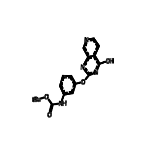 CC(C)(C)OC(=O)Nc1cccc(Oc2nc(O)c3ccncc3n2)c1